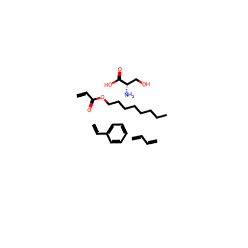 C=CC(=O)OCCCCCCCC.C=CC=C.C=Cc1ccccc1.N[C@@H](CO)C(=O)O